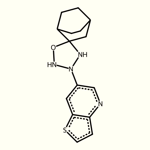 c1cc2ncc(N3NOC4(CC5CCC4CC5)N3)cc2s1